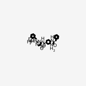 NC(=O)[C@@H](Cc1ccccc1)N[C@H]1CC[C@H](CNc2nc(NCc3ccccc3OC(F)(F)F)ncc2[N+](=O)[O-])CC1